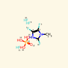 CN1C(F)=C(F)NC1F.F.F.F.O=P(O)(O)O